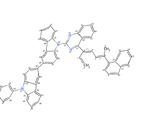 C=C/C(=C\C=C(/C)c1cccc2ccccc12)c1nc(-n2c3ccccc3c3cc(-c4ccc5c(c4)c4ccccc4n5-c4ccccc4)ccc32)nc2ccccc12